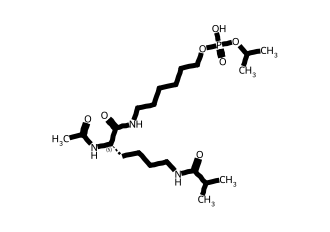 CC(=O)N[C@@H](CCCCNC(=O)C(C)C)C(=O)NCCCCCCOP(=O)(O)OC(C)C